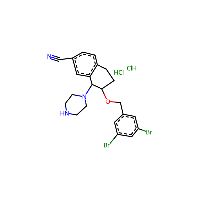 Cl.Cl.N#Cc1ccc2c(c1)C(N1CCNCC1)C(OCc1cc(Br)cc(Br)c1)CC2